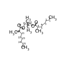 CCCCCCC(C)C(=O)OCC(C)(C)COC(=O)C(C)CCCCCC